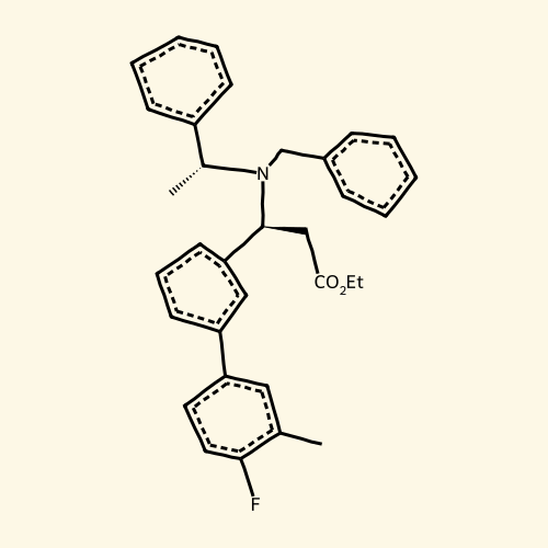 CCOC(=O)C[C@@H](c1cccc(-c2ccc(F)c(C)c2)c1)N(Cc1ccccc1)[C@H](C)c1ccccc1